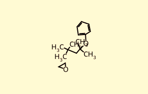 C1CO1.CC(C)(C)CC(C)(C)Oc1ccccc1